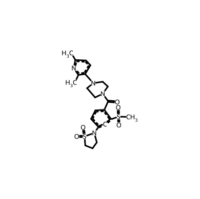 Cc1ccc(N2CCN(C(=O)c3ccc(N4CCCS4(=O)=O)cc3S(C)(=O)=O)CC2)c(C)n1